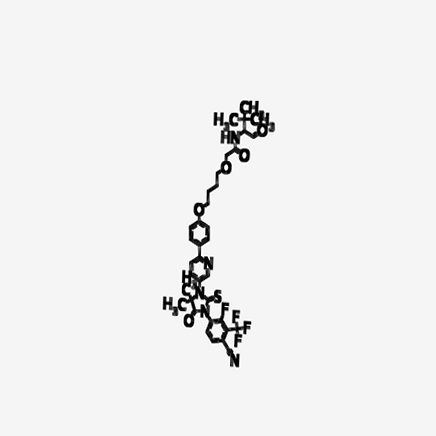 CC(C)(C)C(C=O)NC(=O)COCCCCOc1ccc(-c2ccc(N3C(=S)N(c4ccc(C#N)c(C(F)(F)F)c4F)C(=O)C3(C)C)cn2)cc1